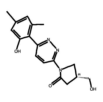 Cc1cc(C)c(-c2ccc(N3C[C@H](CO)CC3=O)nn2)c(O)c1